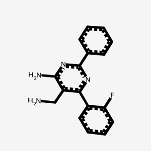 NCc1c(N)nc(-c2ccccc2)nc1-c1ccccc1F